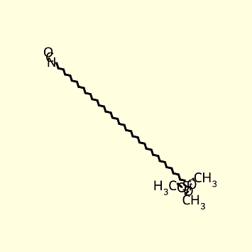 CCO[Si](CCCCCCCCCCCCCCCCCCCCCCCCCCCCCCCCCCCCCCCN=C=O)(OCC)OCC